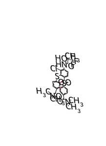 CN(C)C(=O)c1ccc(Sc2c(S(=O)(=O)c3ccc(C(=O)N(C)C)cc3)ccc(NC(=O)[C@@](C)(O)C(F)(F)F)c2Cl)cc1